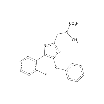 CN(Cc1nc(-c2ccccc2F)c(Sc2ccccc2)s1)C(=O)O